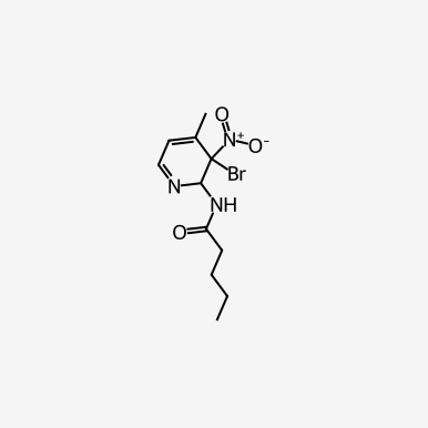 CCCCC(=O)NC1N=CC=C(C)C1(Br)[N+](=O)[O-]